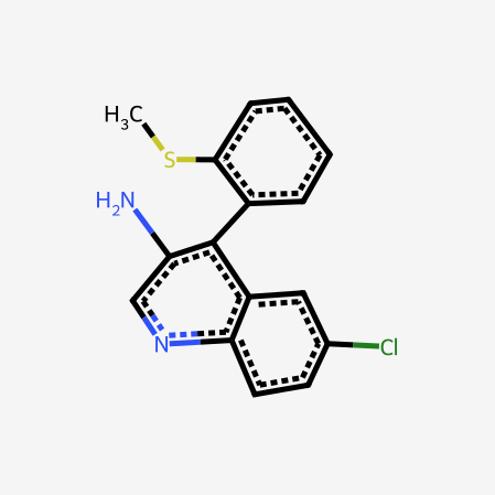 CSc1ccccc1-c1c(N)cnc2ccc(Cl)cc12